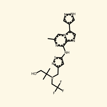 Cc1cn2c(-c3cn[nH]c3)cnc2c(Nc2cc(CN(CC(F)(F)F)C(C)(C)CO)ns2)n1